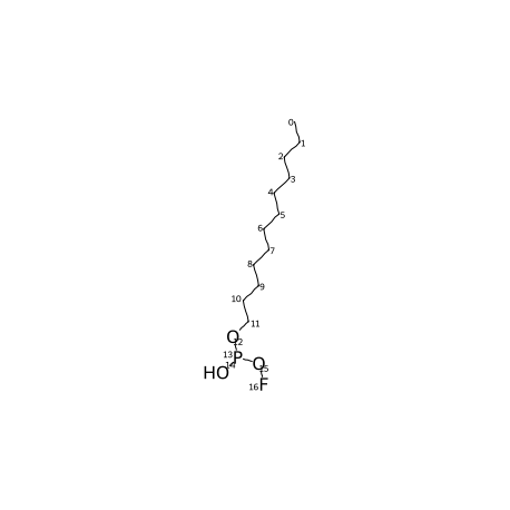 CCCCCCCCCCCCOP(O)OF